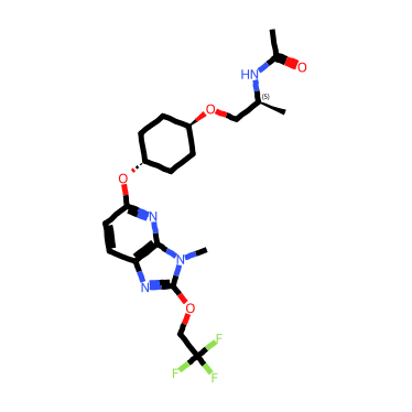 CC(=O)N[C@@H](C)CO[C@H]1CC[C@H](Oc2ccc3nc(OCC(F)(F)F)n(C)c3n2)CC1